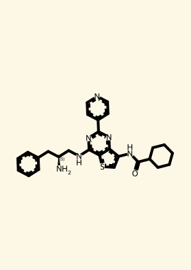 N[C@H](CNc1nc(-c2ccncc2)nc2c(NC(=O)C3CCCCC3)csc12)Cc1ccccc1